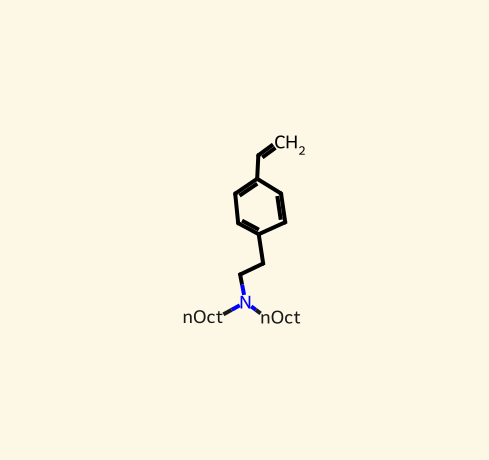 C=Cc1ccc(CCN(CCCCCCCC)CCCCCCCC)cc1